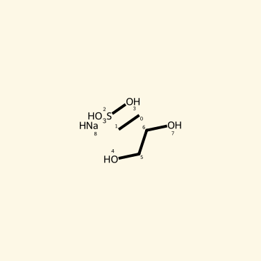 CC.O=S(=O)(O)O.OCCO.[NaH]